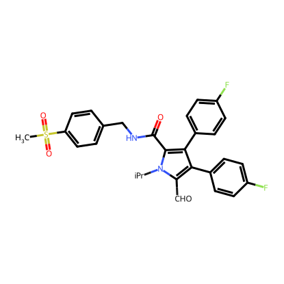 CC(C)n1c(C=O)c(-c2ccc(F)cc2)c(-c2ccc(F)cc2)c1C(=O)NCc1ccc(S(C)(=O)=O)cc1